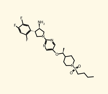 CCCCS(=O)(=O)N1CCC([C@H](C)Oc2cnc(N3C[C@H](c4cc(F)c(F)cc4F)[C@@H](N)C3)nc2)CC1